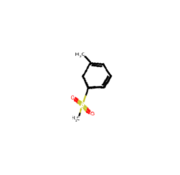 CC1=CC=CC(S(C)(=O)=O)C1